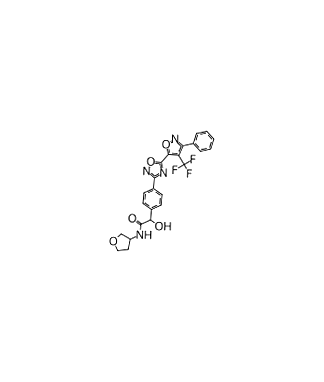 O=C(NC1CCOC1)C(O)c1ccc(-c2noc(-c3onc(-c4ccccc4)c3C(F)(F)F)n2)cc1